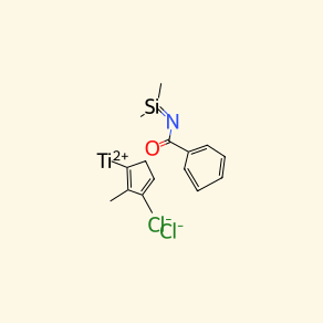 CC1=CC[C]([Ti+2])=C1C.C[Si](C)=NC(=O)c1ccccc1.[Cl-].[Cl-]